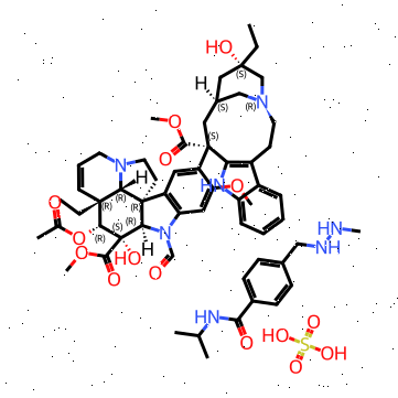 CC[C@]1(O)C[C@H]2C[N@](CCc3c([nH]c4ccccc34)[C@@](C(=O)OC)(c3cc4c(cc3OC)N(C=O)[C@H]3[C@@](O)(C(=O)OC)[C@H](OC(C)=O)[C@]5(CC)C=CCN6CC[C@]43[C@@H]65)C2)C1.CNNCc1ccc(C(=O)NC(C)C)cc1.O=S(=O)(O)O